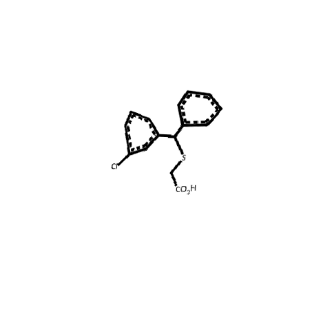 O=C(O)CSC(c1ccccc1)c1cccc(Cl)c1